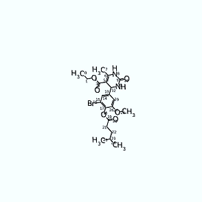 CCOC(=O)C1=C(C)NC(=O)NC1c1cc(Br)c(OC(=O)CCC(C)C)c(OC)c1